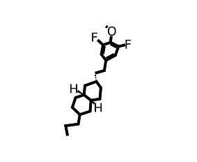 CCCC1CC[C@@H]2C[C@H](CCc3cc(F)c(OC)c(F)c3)CC[C@@H]2C1